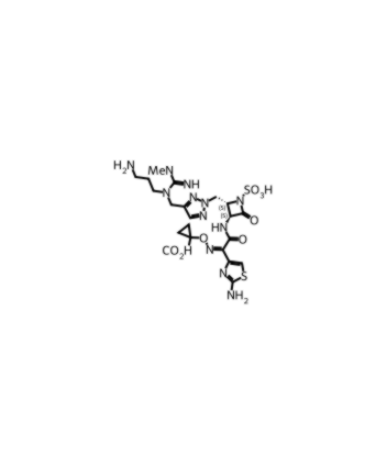 CNC(=N)N(CCCN)Cc1cnn(C[C@H]2[C@H](NC(=O)C(=NOC3(C(=O)O)CC3)c3csc(N)n3)C(=O)N2S(=O)(=O)O)n1